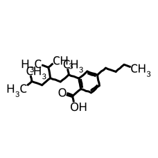 CCCCc1ccc(C(=O)O)c(C(C)CC(CC(C)C)C(C)C)c1